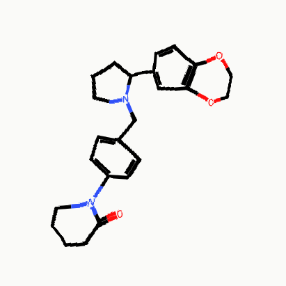 O=C1CCCCN1c1ccc(CN2CCCC2c2ccc3c(c2)OCCO3)cc1